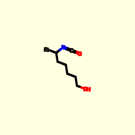 CCC(CCCCCO)N=C=O